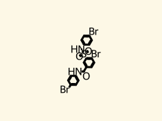 O=C(Nc1ccc(Br)cc1)c1ccc(Br)c(S(=O)(=O)Nc2ccc(Br)cc2)c1